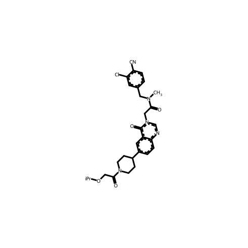 CC(C)OCC(=O)N1CCC(c2ccc3ncn(CC(=O)N(C)Cc4ccc(C#N)c(Cl)c4)c(=O)c3c2)CC1